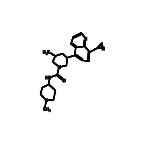 CC1CC(c2ccc(C3C=N3)c3ncccc23)CN(C(=O)NC2CCN(C)CC2)C1